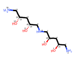 NC[C@@H](O)C[C@@H](O)CNC[C@H](O)C[C@H](O)CN